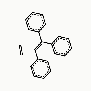 C(=C(c1ccccc1)c1ccccc1)c1ccccc1.C=C